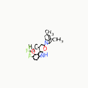 CC(CC(=O)N1C2CC3(C)CC1CC(C)(C2)C3)c1c[nH]c2ccc(F)c(OC(F)(F)F)c12